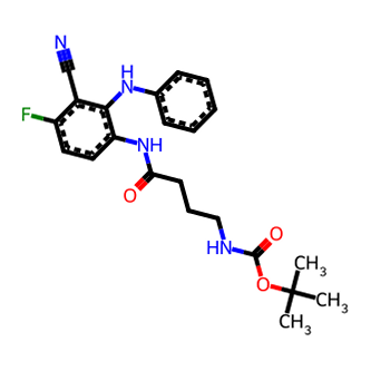 CC(C)(C)OC(=O)NCCCC(=O)Nc1ccc(F)c(C#N)c1Nc1ccccc1